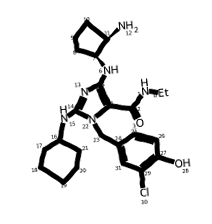 CCNC(=O)c1c(N[C@H]2CCC[C@H]2N)nc(NC2CCCCC2)n1Cc1ccc(O)c(Cl)c1